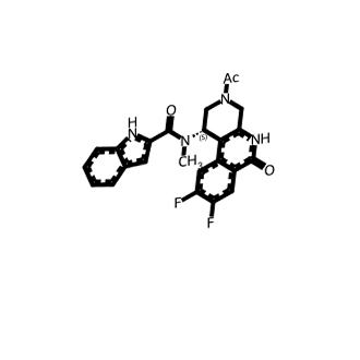 CC(=O)N1Cc2[nH]c(=O)c3cc(F)c(F)cc3c2[C@H](N(C)C(=O)c2cc3ccccc3[nH]2)C1